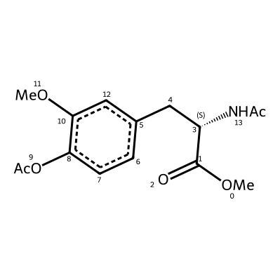 COC(=O)[C@H](Cc1ccc(OC(C)=O)c(OC)c1)NC(C)=O